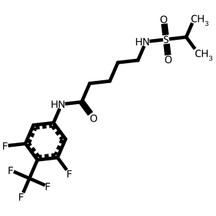 CC(C)S(=O)(=O)NCCCCC(=O)Nc1cc(F)c(C(F)(F)F)c(F)c1